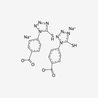 O=C([O-])c1ccc(-n2nnnc2S)cc1.O=C([O-])c1ccc(-n2nnnc2S)cc1.[Na+].[Na+]